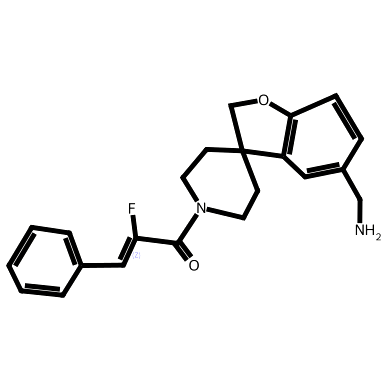 NCc1ccc2c(c1)C1(CCN(C(=O)/C(F)=C/c3ccccc3)CC1)CO2